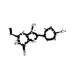 C=Cc1nc2c(nc(-c3ccc(Cl)cc3)n2CC)c(=O)[nH]1